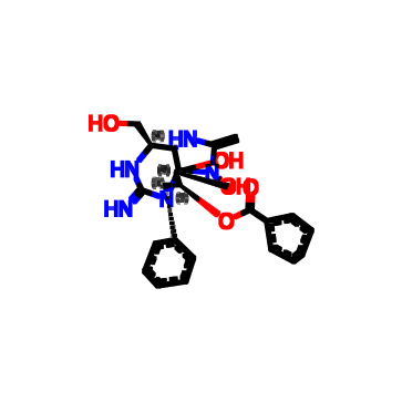 C=C1NC2[C@H](CO)NC(=N)N3[C@H](c4ccccc4)[C@H](OC(=O)c4ccccc4)[C@](C)(O)C23N1O